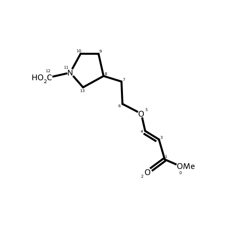 COC(=O)C=COCCC1CCN(C(=O)O)C1